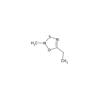 CCC1=NSN(C)O1